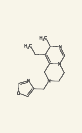 CCC1=C2CN(Cc3cocn3)CCN2C=NC1C